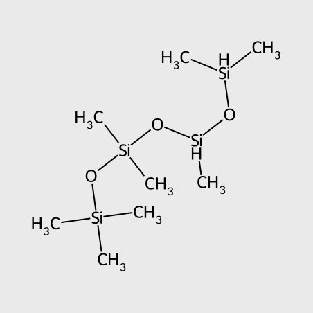 C[SiH](C)O[SiH](C)O[Si](C)(C)O[Si](C)(C)C